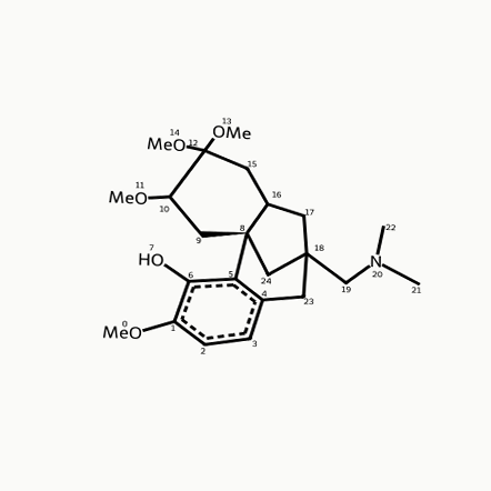 COc1ccc2c(c1O)[C@]13CC(OC)C(OC)(OC)CC1CC(CN(C)C)(C2)C3